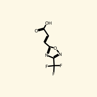 O=C(O)/C=C/c1nc(C(F)(F)F)no1